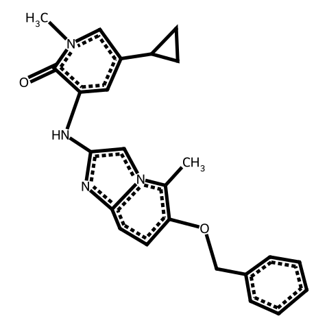 Cc1c(OCc2ccccc2)ccc2nc(Nc3cc(C4CC4)cn(C)c3=O)cn12